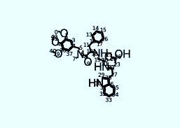 COc1cc(CN(C)C(=O)C(Cc2ccccc2)NCCN[C@H](CC(=O)O)Cc2c[nH]c3ccccc23)cc(OC)c1OC